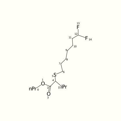 CCCOC(=O)C(SCCCCCCC(F)F)C(C)C